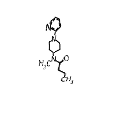 CCCC(=O)N(C)C1CCN(c2ccccn2)CC1